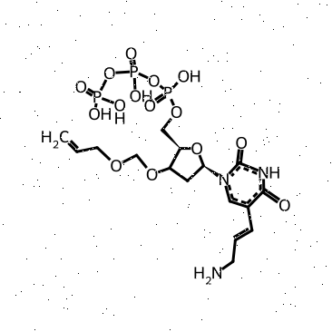 C=CCOCOC1C[C@H](n2cc(/C=C/CN)c(=O)[nH]c2=O)O[C@@H]1COP(=O)(O)OP(=O)(O)OP(=O)(O)O